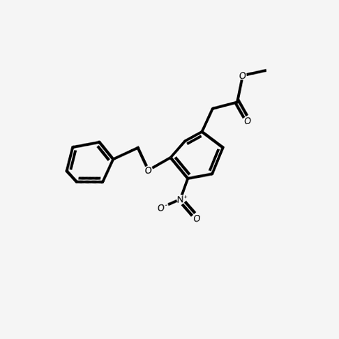 COC(=O)Cc1ccc([N+](=O)[O-])c(OCc2ccccc2)c1